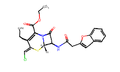 CC(=O)OCC1=C(C(=O)OCC(Cl)(Cl)Cl)N2C(=O)C(NC(=O)Cc3cc4ccccc4o3)[C@@H]2SC1=CCl